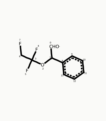 O=[C]C(OC(F)(F)CF)c1ccccc1